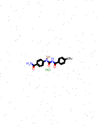 CC(C)(C)c1ccc(C(=O)NC(=O)N(S)c2ccc(C(N)=O)cc2)cc1.Cl